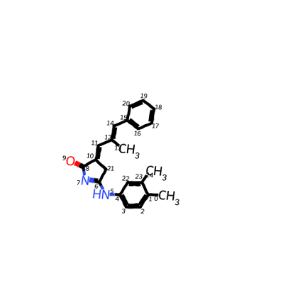 CC1=C=C=C(NC2=NC(=O)/C(=C/C(C)=C/c3ccccc3)C2)C=C1C